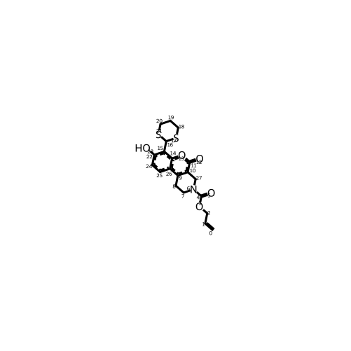 C=CCOC(=O)N1CCc2c(c(=O)oc3c(C4SCCCS4)c(O)ccc23)C1